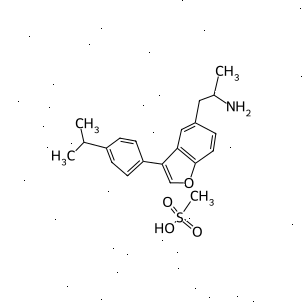 CC(N)Cc1ccc2occ(-c3ccc(C(C)C)cc3)c2c1.CS(=O)(=O)O